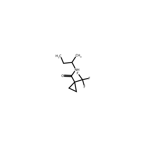 CCC(C)NC(=O)C1(C(F)(F)F)CC1